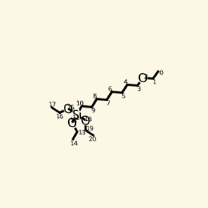 CCOCCCCCCCC[Si](OCC)(OCC)OCC